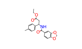 CCOC(=O)CC(NC(=O)c1ccc2c(c1)OCO2)c1ccc(C)cc1